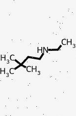 C[CH]NCCC(C)(C)C